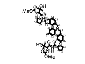 COC(=O)N[C@H](C(=O)NC(=O)[C@@H]1CCCN1c1ccc(CN(Cc2ccc3[nH]c([C@@H]4CCCN4C(=O)[C@@H](NC(=O)OC)C(C)(C)O)nc3c2)c2ccc(F)cc2)cc1)C(C)(C)O